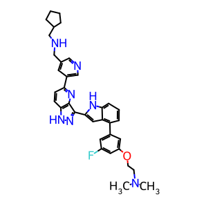 CN(C)CCOc1cc(F)cc(-c2cccc3[nH]c(-c4n[nH]c5ccc(-c6cncc(CNCC7CCCC7)c6)nc45)cc23)c1